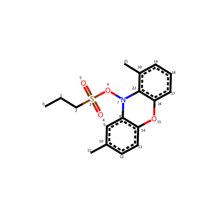 CCCS(=O)(=O)ON1c2cc(C)ccc2Oc2cccc(C)c21